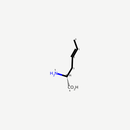 CC=CC[C@@H](N)C(=O)O